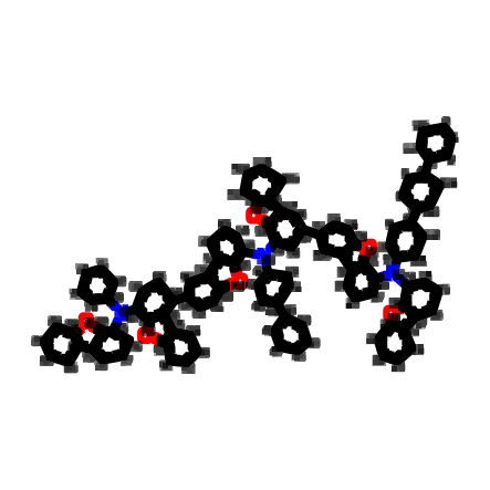 c1ccc(-c2ccc(-c3ccc(N(c4cccc5c4oc4ccccc45)c4cccc5c4oc4ccc(-c6cc(N(c7ccc(-c8ccccc8)cc7)c7cccc8c7oc7ccc(-c9ccc(N(c%10ccccc%10)c%10cccc%11c%10oc%10ccccc%10%11)c%10oc%11ccccc%11c9%10)cc78)c7oc8ccccc8c7c6)cc45)cc3)cc2)cc1